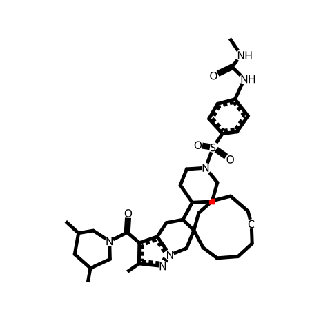 CNC(=O)Nc1ccc(S(=O)(=O)N2CCC(C3Cc4c(C(=O)N5CC(C)CC(C)C5)c(C)nn4CC34CCCCCCCCC4)CC2)cc1